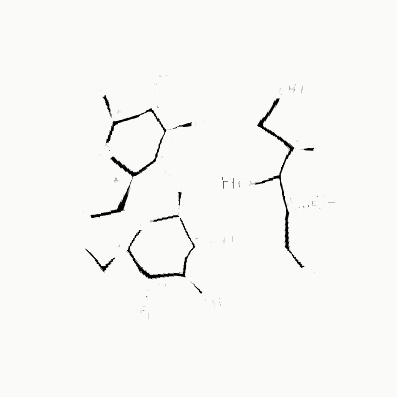 OC[C@@H](O)C(O)[C@H](O)CO.OC[C@H]1O[C@@H](O[C@H]2[C@H](O)[C@@H](O)[C@H](O)O[C@@H]2CO)[C@H](O)[C@@H](O)[C@@H]1O